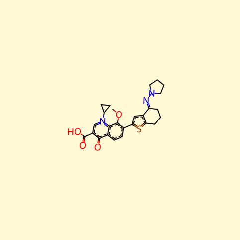 COc1c(-c2cc3c(s2)CCC/C3=N\N2CCCC2)ccc2c(=O)c(C(=O)O)cn(C3CC3)c12